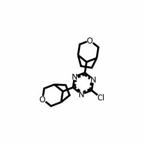 Clc1nc(C2C3CCC2COC3)nc(C2C3CCC2COC3)n1